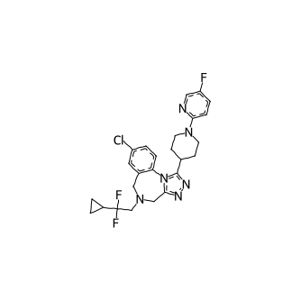 Fc1ccc(N2CCC(c3nnc4n3-c3ccc(Cl)cc3CN(CC(F)(F)C3CC3)C4)CC2)nc1